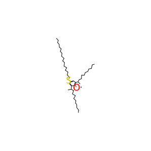 CCCCCCCCCCCCCCCCCCSc1cc(C(C)CCCCCCCCCC)c([O])c(C(C)CCCCCCCCCC)c1